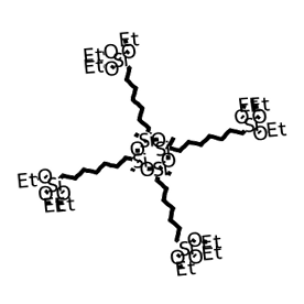 CCO[Si](CCCCCCC[Si]1(C)O[Si](C)(CCCCCCC[Si](OCC)(OCC)OCC)O[Si](C)(CCCCCCC[Si](OCC)(OCC)OCC)O[Si](C)(CCCCCCC[Si](OCC)(OCC)OCC)O1)(OCC)OCC